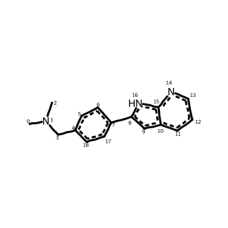 CN(C)Cc1ccc(-c2cc3cccnc3[nH]2)cc1